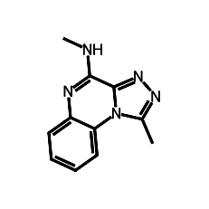 CNc1nc2ccccc2n2c(C)nnc12